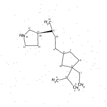 CCC1(C(C)C)CCC(CCC(C)[C@H]2CCNC2)C1